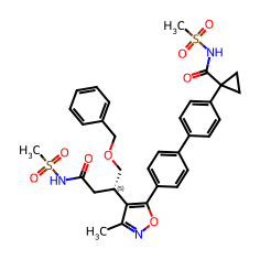 Cc1noc(-c2ccc(-c3ccc(C4(C(=O)NS(C)(=O)=O)CC4)cc3)cc2)c1[C@@H](COCc1ccccc1)CC(=O)NS(C)(=O)=O